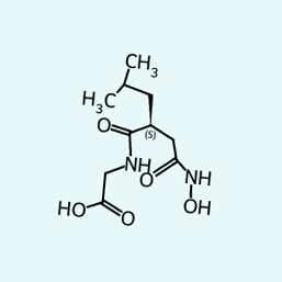 CC(C)C[C@@H](CC(=O)NO)C(=O)NCC(=O)O